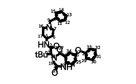 CC(C)(C)C(C(=O)NC1CCN(Cc2ccccc2)CC1)N1CC(=O)Nc2ccc(Oc3ccccc3)cc2C1=O